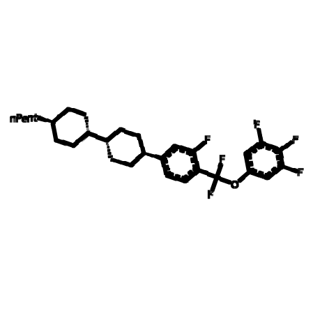 CCCCC[C@H]1CC[C@H]([C@H]2CC[C@H](c3ccc(C(F)(F)Oc4cc(F)c(F)c(F)c4)c(F)c3)CC2)CC1